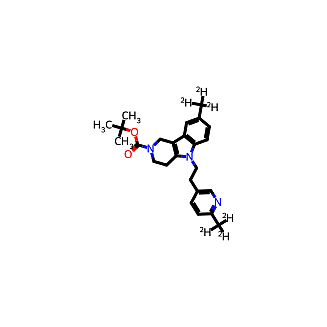 [2H]C([2H])([2H])c1ccc2c(c1)c1c(n2CCc2ccc(C([2H])([2H])[2H])nc2)CCN(C(=O)OC(C)(C)C)C1